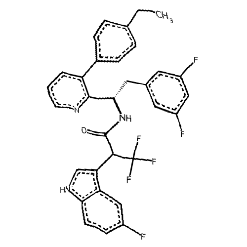 CCc1ccc(-c2cccnc2[C@H](Cc2cc(F)cc(F)c2)NC(=O)C(c2c[nH]c3ccc(F)cc23)C(F)(F)F)cc1